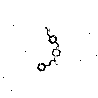 C=NCc1ccc(CN2CCN(C(=O)/C=C/c3ccccc3)CC2)cc1